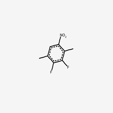 Cc1cc([N+](=O)[O-])c(C)c(F)c1F